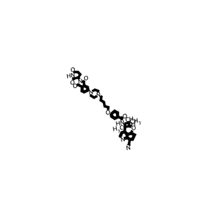 CC1(C)C(NC(=O)c2ccc(OCCCCCN3CCN(c4ccc5c(c4)C(=O)N(C4CCC(=O)NC4=O)C5=O)CC3)cc2)C2(C)c3ccnc4c(C#N)ccc(c34)O[C@@H]12